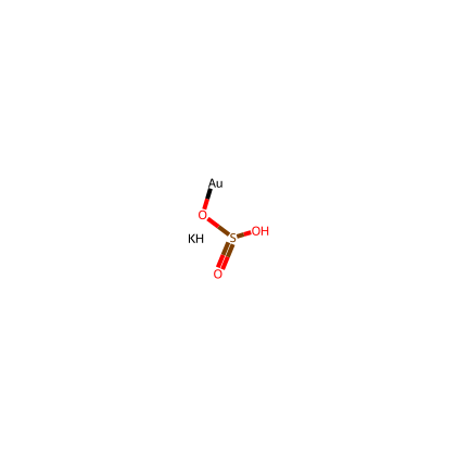 O=S(O)[O][Au].[KH]